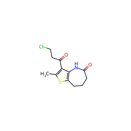 Cc1sc2c(c1C(=O)CCCl)NC(=O)CCC2